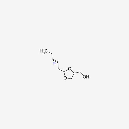 CC/C=C/CC1OCC(CO)O1